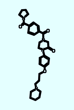 O=C(c1ccc(C(=O)N2CCN(c3ccc(OCCCN4CCCCC4)cc3)C(=O)C2)cc1)N1CCCC1